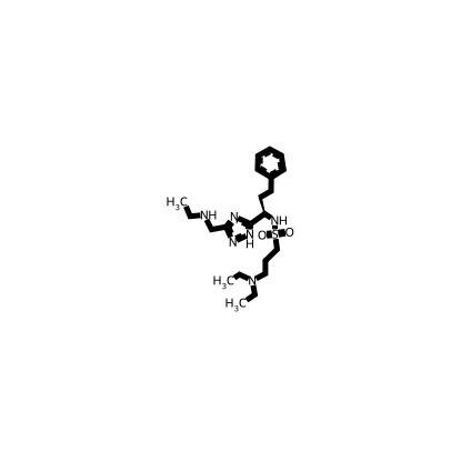 CCNCc1n[nH]c([C@@H](CCc2ccccc2)NS(=O)(=O)CCCN(CC)CC)n1